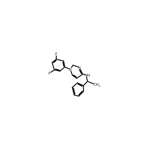 CC(NC1=NCN(c2cc(F)cc(F)c2)C=C1)c1ccccc1